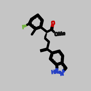 C=C(CC[C@@H](C(=O)OC)c1cccc(F)c1C)c1ccc2cn[nH]c2c1